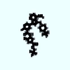 Cc1ccc(-c2cc(CN3CCC(C(F)(F)F)CC3)c3c(N)ncnn23)cc1C(=O)NC1CN(C(=O)OCC(F)(F)F)CC1F